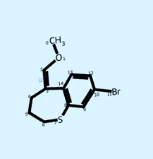 CO/C=C1/CCCSc2cc(Br)ccc21